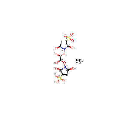 O=C(ON1C(=O)CC(S(=O)(=O)[O-])C1=O)C(=O)ON1C(=O)CC(S(=O)(=O)[O-])C1=O.[Na+].[Na+]